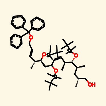 C[C@@H](CO)C[C@H](C)[C@@H](O[Si](C)(C)C(C)(C)C)[C@@H](C)/C=C\[C@H](C[C@H](O[Si](C)(C)C(C)(C)C)[C@H](C)/C=C/COC(c1ccccc1)(c1ccccc1)c1ccccc1)O[Si](C)(C)C(C)(C)C